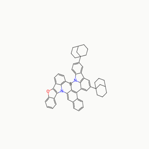 c1ccc2c3c4c(cc2c1)-n1c2c(cccc2c2oc5ccccc5c21)B4n1c2ccc(C45CCCC(CCC4)C5)cc2c2cc(C45CCCC(CCC4)C5)cc-3c21